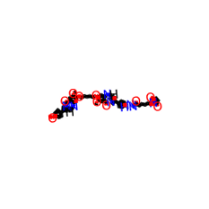 COc1ccc(C2=CN3C(=O)c4cc(OC)c(OCCCCCOc5cc6c(cc5OC)C(=O)N5C=C(c7ccc(/C=N/NC(=O)CCCCCN8C(=O)C=CC8=O)cc7)C[C@H]5C=N6)cc4N=C[C@@H]3C2)cc1